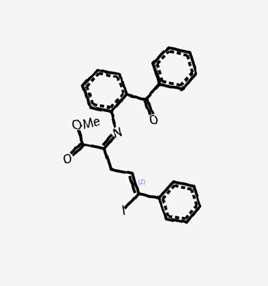 COC(=O)C(C/C=C(\I)c1ccccc1)=Nc1ccccc1C(=O)c1ccccc1